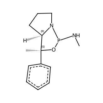 CNP1O[C@@](C)(c2ccccc2)[C@H]2CCCN21